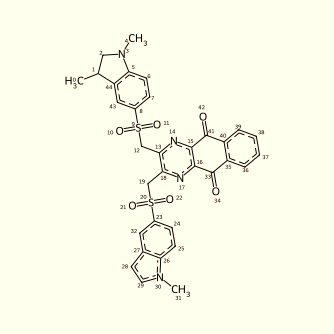 CC1CN(C)c2ccc(S(=O)(=O)Cc3nc4c(nc3CS(=O)(=O)c3ccc5c(ccn5C)c3)C(=O)c3ccccc3C4=O)cc21